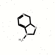 CN1COC2CN=CC=C21